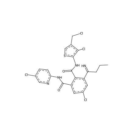 CCCC(=N)c1cc(Cl)cc(C(=O)Nc2ccc(Cl)cn2)c1C(=O)Nc1scc(CCl)c1Cl